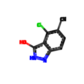 N#Cc1ccc2n[nH]c(O)c2c1Cl